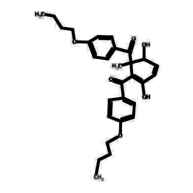 CCCCOc1ccc(C(=O)C2=C(O)C=CC(O)C2(C)C(=O)c2ccc(OCCCC)cc2)cc1